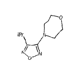 CC(C)c1nonc1N1CCOCC1